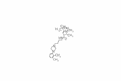 Cc1cccc(N2CCN(CCCCNC(=O)C3C=C(C(C)(C)C)N(C)C3C)CC2)c1C